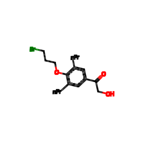 CCCc1cc(C(=O)CO)cc(CCC)c1OCCCBr